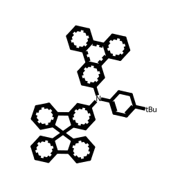 CC(C)(C)C1=CC=C(N(c2ccc3c(c2)-c2ccccc2C32c3ccccc3-c3ccccc32)c2ccc3c4ccccc4c4ccccc4c3c2)CC1